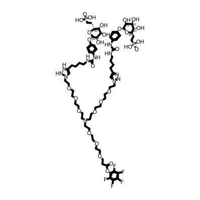 O=C(NCCCCC1=CN(CCOCCOCCOCCN(CCOCCOCCOCCC(=O)Oc2c(F)c(F)c(F)c(F)c2F)CCOCCOCCOCCn2cc(CCCCNC(=O)Nc3ccc(O[C@H]4O[C@H](CCP(=O)(O)O)[C@@H](O)[C@H](O)[C@@H]4O)cc3)nn2)NN1)Nc1ccc(O[C@H]2O[C@H](CCP(=O)(O)O)[C@@H](O)[C@H](O)[C@@H]2O)cc1